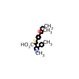 C=C/C=C\C1OC(c2ccc(-c3cc(C4=C(C5CCC(C)CC5)CN(C)CC4)c(C(=O)O)s3)cc2)=CC1C